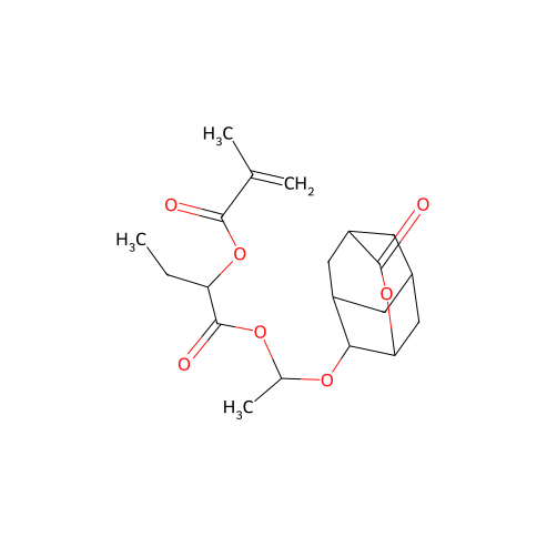 C=C(C)C(=O)OC(CC)C(=O)OC(C)OC1C2CC3CC(C2)C(=O)OC1C3